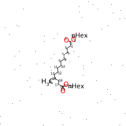 CCCCCCOC(=O)CCCCCCCCCCC(C)CCC(=O)OCCCCCC